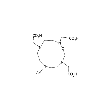 CC(=O)N1CCN(CC(=O)O)CCN(CC(=O)O)CCN(CC(=O)O)CC1